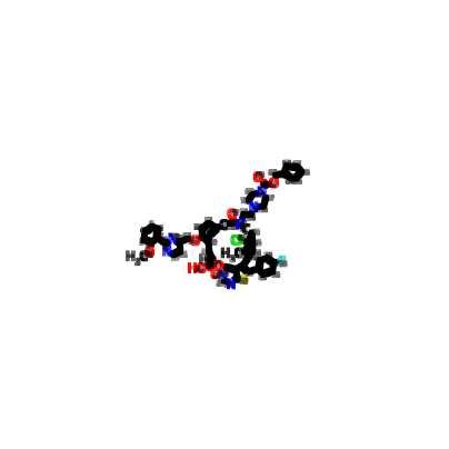 COc1ccccc1-c1nccc(COc2ccc3cc2C[C@H](C(=O)O)Oc2ncnc4sc(-c5ccc(F)cc5)c(c24)-c2ccc(c(Cl)c2C)CN(CCN2CCN(C(=O)OCc4ccccc4)CC2)C(=O)C3)n1